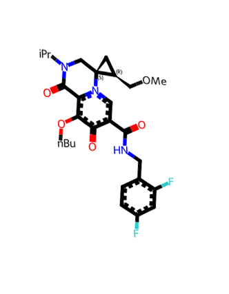 CCCCOc1c2n(cc(C(=O)NCc3ccc(F)cc3F)c1=O)[C@]1(C[C@H]1COC)CN(C(C)C)C2=O